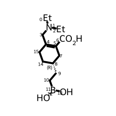 CCN(CC)CC1=C(C(=O)O)C[C@H](CCB(O)O)CC1